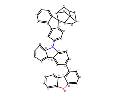 c1ccc2c(c1)-c1cc(-n3c4ccccc4c4cc(-c5cccc6oc7ccccc7c56)ccc43)ccc1C21C2CC3CC(C2)CC1C3